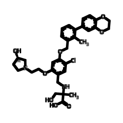 Cc1c(COc2cc(OCCN3CC[C@@H](O)C3)c(CNC(C)(CO)C(=O)O)cc2Cl)cccc1-c1ccc2c(c1)OCCO2